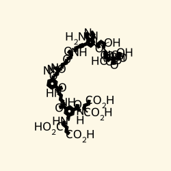 [N-]=[N+]=NC(COc1cccc(C(=O)NCCNC(=O)c2cc(CN[C@@H](CCC(=O)O)C(=O)O)cc(C(=O)N[C@@H](CCC(=O)O)C(=O)O)c2)c1)OCCOCC(=O)NCC#Cc1cn([C@H]2C[C@H](O)[C@@H](COP(=O)(O)OP(=O)(O)OP(=O)(O)O)O2)c2ncnc(N)c12